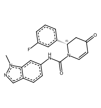 Cn1ncc2ccc(NC(=O)N3C=CC(=O)C[C@H]3c3cccc(F)c3)cc21